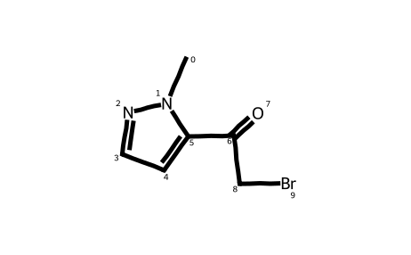 Cn1nccc1C(=O)CBr